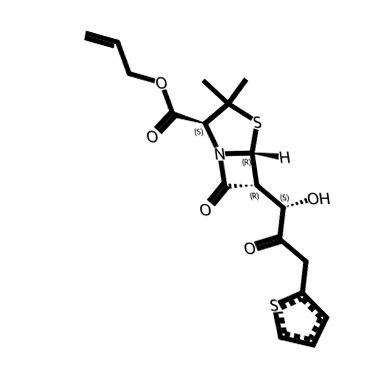 C=CCOC(=O)[C@@H]1N2C(=O)[C@@H]([C@H](O)C(=O)Cc3cccs3)[C@H]2SC1(C)C